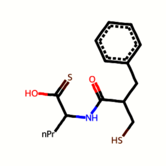 CCCC(NC(=O)C(CS)Cc1ccccc1)C(O)=S